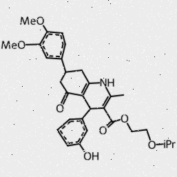 COc1ccc(C2CC(=O)C3=C(C2)NC(C)=C(C(=O)OCCOC(C)C)C3c2cccc(O)c2)cc1OC